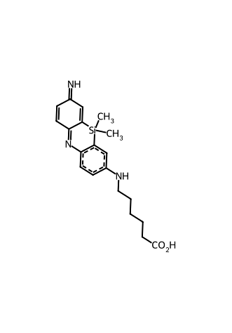 C[Si]1(C)C2=CC(=N)C=CC2=Nc2ccc(NCCCCCC(=O)O)cc21